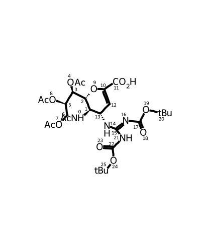 CC(=O)N[C@H]1[C@H]([C@H](OC(C)=O)[C@@H](COC(C)=O)OC(C)=O)OC(C(=O)O)=C[C@@H]1NC(=NC(=O)OC(C)(C)C)NC(=O)OC(C)(C)C